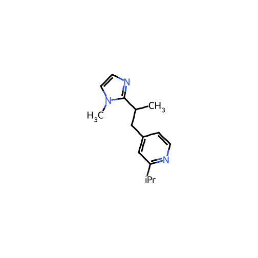 CC(C)c1cc(CC(C)c2nccn2C)ccn1